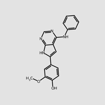 COc1cc(-c2cc3c(Nc4ccccc4)ncnc3[nH]2)ccc1O